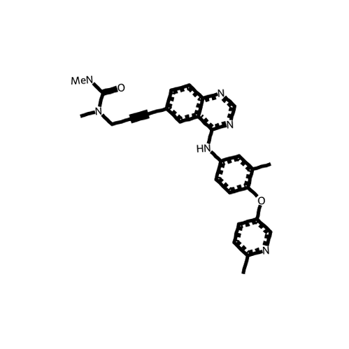 CNC(=O)N(C)CC#Cc1ccc2ncnc(Nc3ccc(Oc4ccc(C)nc4)c(C)c3)c2c1